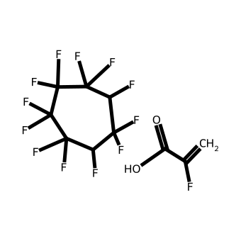 C=C(F)C(=O)O.FC1C(F)(F)C(F)C(F)(F)C(F)(F)C(F)(F)C1(F)F